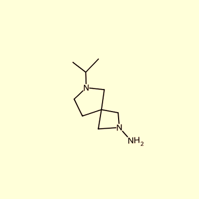 CC(C)N1CCC2(CN(N)C2)C1